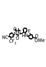 COC(=O)c1ccc(Nc2ccccc2CN2C(=O)N(c3ccc(C#N)c(C(F)(F)F)c3)C(=O)C2(C)C)c(F)c1